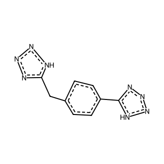 c1cc(-c2nnn[nH]2)ccc1Cc1nnn[nH]1